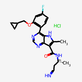 Cc1[nH]c2c(-c3ccc(F)cc3OCC3CC3)ncnc2c1C(=O)N[C@H](C)CC=N.Cl